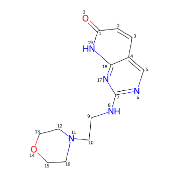 O=c1ccc2cnc(NCCN3CCOCC3)nc2[nH]1